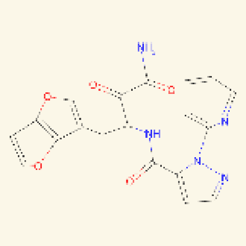 NC(=O)C(=O)C(Cc1coc2ccoc12)NC(=O)c1ccnn1-c1ccccn1